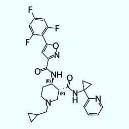 O=C(N[C@@H]1CCN(CC2CC2)C[C@H]1C(=O)NC1(c2ccccn2)CC1)c1cc(-c2c(F)cc(F)cc2F)on1